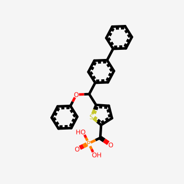 O=C(c1ccc(C(Oc2ccccc2)c2ccc(-c3ccccc3)cc2)s1)P(=O)(O)O